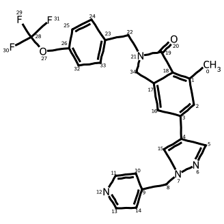 Cc1cc(-c2cnn(Cc3ccncc3)c2)cc2c1C(=O)N(Cc1ccc(OC(F)(F)F)cc1)C2